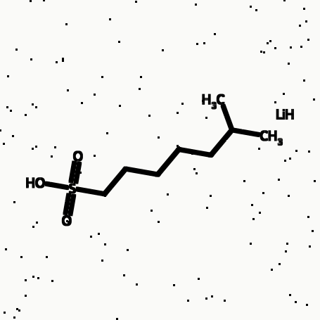 CC(C)CCCCCS(=O)(=O)O.[LiH]